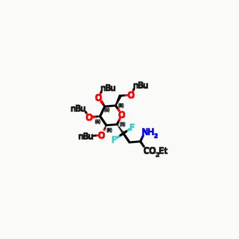 CCCCOC[C@H]1O[C@H](C(F)(F)CC(N)C(=O)OCC)[C@H](OCCCC)[C@@H](OCCCC)[C@H]1OCCCC